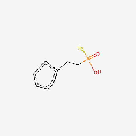 O=P(O)(S)CCc1cc[c]cc1